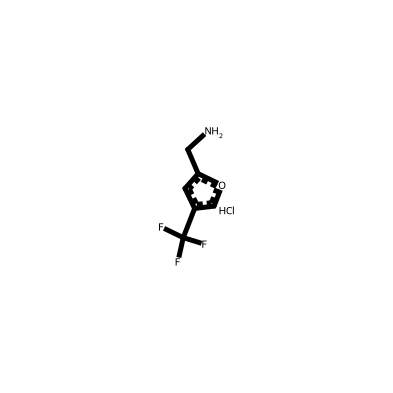 Cl.NCc1cc(C(F)(F)F)co1